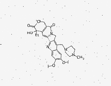 CCC1(O)C(=O)OCc2c1cc1n(c2=O)Cc2c-1nc1cc(OI)c(OI)cc1c2CN1CCN(C)CC1